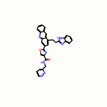 O=C(NCc1cccnn1)c1coc(-c2cc(CCc3nc4ccccc4[nH]3)c3cc4ccccc4nc3c2)n1